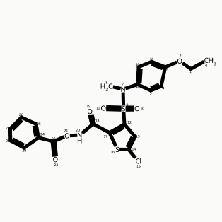 CCOc1ccc(N(C)S(=O)(=O)c2cc(Cl)sc2C(=O)NOC(=O)c2ccccc2)cc1